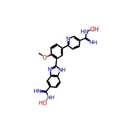 COc1ccc(-c2ccc(C(=N)NO)cn2)cc1-c1nc2cc(C(=N)NO)ccc2[nH]1